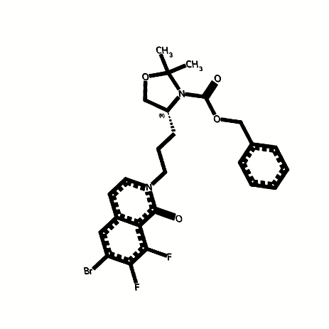 CC1(C)OC[C@@H](CCCn2ccc3cc(Br)c(F)c(F)c3c2=O)N1C(=O)OCc1ccccc1